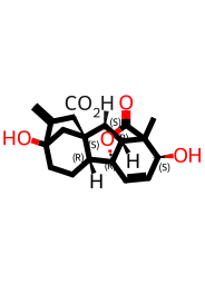 C=C1C[C@]23CC1(O)CC[C@H]2[C@@]12C=C[C@H](O)C(C)(C(=O)O1)[C@H]2[C@@H]3C(=O)O